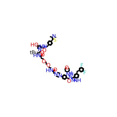 Cc1ncsc1-c1ccc(CNC(=O)[C@@H]2C[C@@H](O)CN2C(=O)[C@@H](NC(=O)CCOCCOCCNC(=O)CN2CCN(c3ccc(C(=O)Nc4n[nH]c5ccc(Cc6cc(F)cc(F)c6)cc45)c(NC4CCOCC4)c3)CC2)C(C)(C)C)cc1